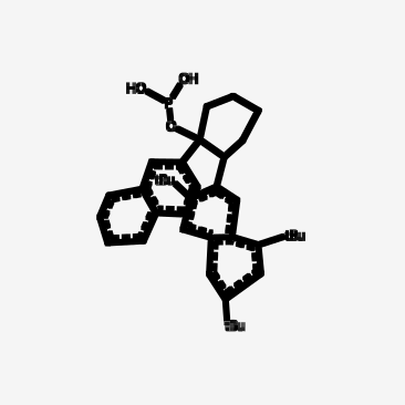 CC(C)(C)c1cc(C(C)(C)C)c2cc(C3CCCCC3(OP(O)O)c3ccc4ccccc4c3)c(C(C)(C)C)cc2c1